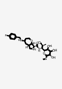 CSC1O[C@H]([C@H](NC(=O)[C@H]2NC[C@@H]3CC(NCc4ccc(F)cc4)CCO[C@H]32)[C@H](C)Cl)C(O)C(O)[C@H]1O